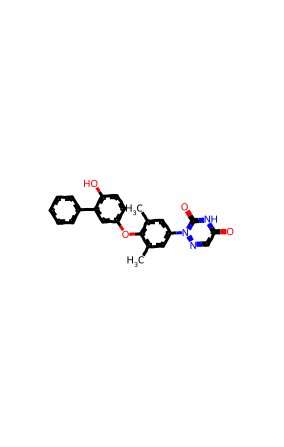 Cc1cc(-n2ncc(=O)[nH]c2=O)cc(C)c1Oc1ccc(O)c(-c2ccccc2)c1